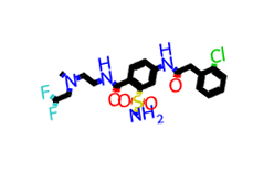 CN(CCNC(=O)c1ccc(NC(=O)Cc2ccccc2Cl)cc1S(N)(=O)=O)CC(F)F